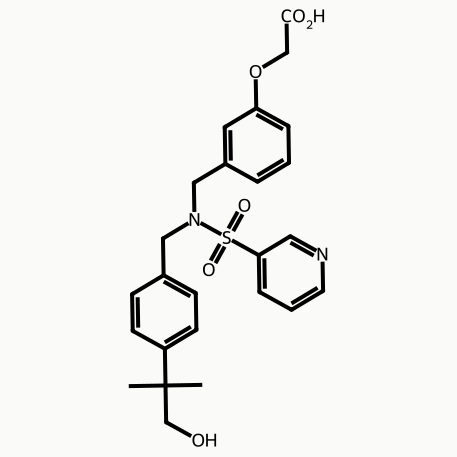 CC(C)(CO)c1ccc(CN(Cc2cccc(OCC(=O)O)c2)S(=O)(=O)c2cccnc2)cc1